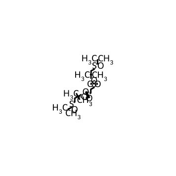 CC(C)C(=O)SCCC(C)(C)COS(=O)(=O)CCCS(=O)(=O)OCC(C)(C)CCSC(=O)C(C)C